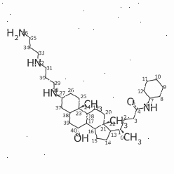 C[C@H](CCC(=O)NC1CCCCC1)C1CCC2C3C(CC[C@@]21C)[C@@]1(C)CC[C@H](NCCCNCCCN)CC1C[C@H]3O